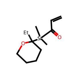 [CH2]CC1([Si](C)(C)C(=O)C=C)CCCCO1